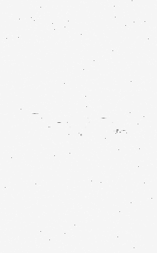 CC/C=C1\CC(CNC)N1